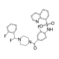 O=C(c1ccc(NS(=O)(=O)c2cccc3cccnc23)c(F)c1)N1CCN(C(F)c2ccccc2F)CC1